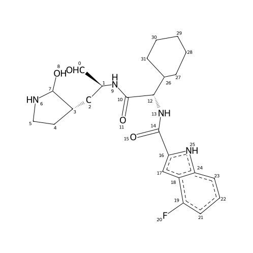 O=C[C@H](C[C@@H]1CCNC1O)NC(=O)[C@@H](NC(=O)c1cc2c(F)cccc2[nH]1)C1CCCCC1